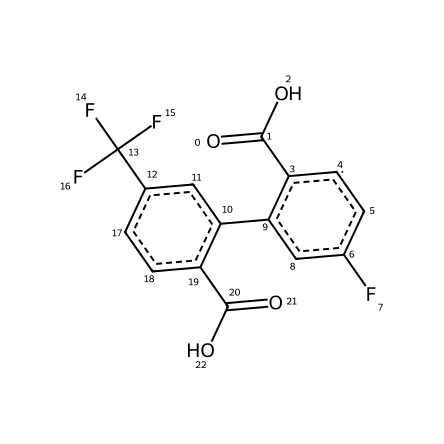 O=C(O)c1[c]cc(F)cc1-c1cc(C(F)(F)F)ccc1C(=O)O